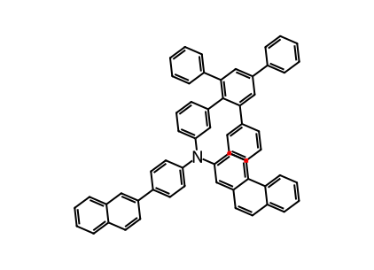 c1ccc(-c2cc(-c3ccccc3)c(-c3cccc(N(c4ccc(-c5ccc6ccccc6c5)cc4)c4ccc5c(ccc6ccccc65)c4)c3)c(-c3ccccc3)c2)cc1